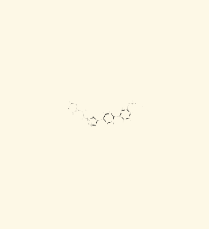 NCc1cccc(-c2ncc(-c3cnn(CCN4CCCC4)c3)cn2)c1